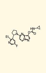 CCc1ncc(F)cc1C1CCCN1c1ccn2ncc(OC(=O)NC3CC3)c2n1